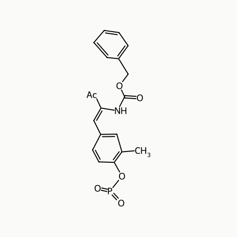 CC(=O)C(=Cc1ccc(OP(=O)=O)c(C)c1)NC(=O)OCc1ccccc1